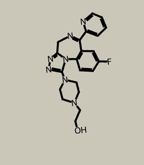 OCCN1CCN(c2nnc3n2-c2ccc(F)cc2C(c2ccccn2)=NC3)CC1